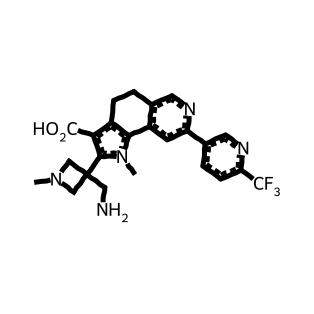 CN1CC(CN)(c2c(C(=O)O)c3c(n2C)-c2cc(-c4ccc(C(F)(F)F)nc4)ncc2CC3)C1